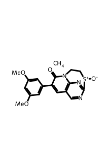 C.COc1cc(OC)cc(-c2cc3cnc4nc3n(c2=O)CC[S+]4[O-])c1